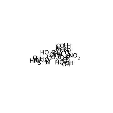 CN(CCCCCC(=O)NC(C(=O)O)N1CCN(CC(=O)O)CCN(CCNC(=O)OCc2ccc(OC3OC(CO)C(O)C(O)C3O)cc2[N+](=O)[O-])CCN(CC(=O)O)CC1)C(=O)CCCCC1SCC2NC(=O)NC21